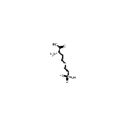 N[C@@H](CCSCCP(=O)(O)O)C(=O)O